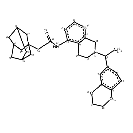 CC(c1ccc2c(c1)OCCO2)N1CCc2c(ncnc2NC(=O)CC23CC4CC(CC(C4)C2)C3)C1